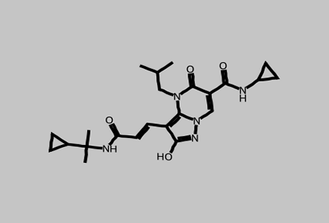 CC(C)Cn1c(=O)c(C(=O)NC2CC2)cn2nc(O)c(C=CC(=O)NC(C)(C)C3CC3)c12